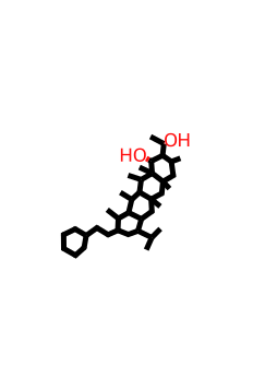 CC(C)C1CC(CCC2CCCCC2)C(C)C2C(C)C3C(C)C4(C)C(O)C(C(C)O)C(C)CC4(C)CC3(C)CC12